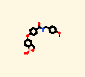 COc1ccc(CNC(=O)c2ccc(Oc3ccc4c(c3)COB4O)cc2)cc1